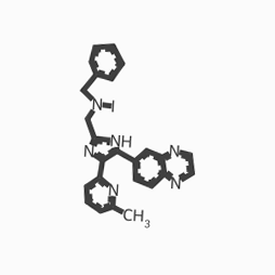 Cc1cccc(-c2nc(CN(I)Cc3ccccc3)[nH]c2-c2ccc3nccnc3c2)n1